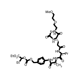 CCOC(=O)C(CC)OC(=O)OCc1ccc(NC(=O)[C@H](C)NC(=O)[C@@H](NC(=O)CC[C@H](NC(=O)S)C(=O)NCCOCCOC)C(C)C)cc1